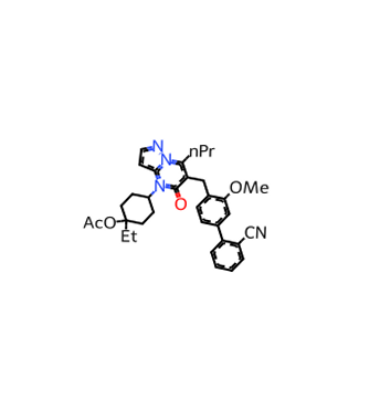 CCCc1c(Cc2ccc(-c3ccccc3C#N)cc2OC)c(=O)n(C2CCC(CC)(OC(C)=O)CC2)c2ccnn12